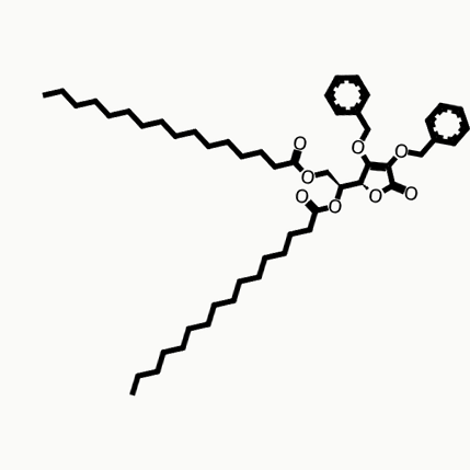 CCCCCCCCCCCCCCCC(=O)OC[C@H](OC(=O)CCCCCCCCCCCCCCC)[C@H]1OC(=O)C(OCc2ccccc2)=C1OCc1ccccc1